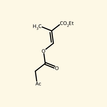 CCOC(=O)C(C)=COC(=O)CC(C)=O